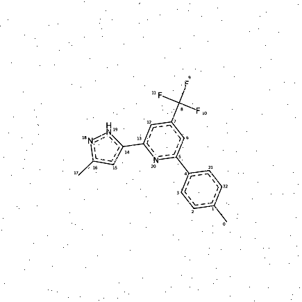 Cc1ccc(-c2cc(C(F)(F)F)cc(-c3cc(C)n[nH]3)n2)cc1